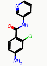 Nc1ccc(C(=O)Nc2cccnc2)c(Cl)c1